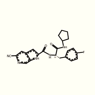 N#Cc1cc2cc(C(=O)N[C@@H](Cc3ccc(F)cc3)C(=O)NC3CCCC3)[nH]c2cn1